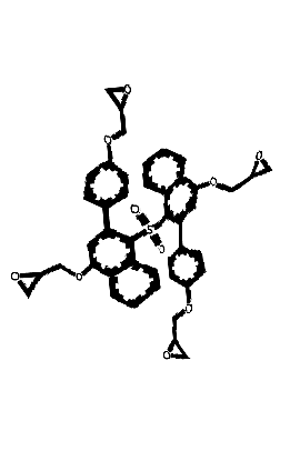 O=S(=O)(c1c(-c2ccc(OCC3CO3)cc2)cc(OCC2CO2)c2ccccc12)c1c(-c2ccc(OCC3CO3)cc2)cc(OCC2CO2)c2ccccc12